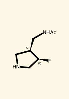 CC(=O)NC[C@@H]1CNC[C@@H]1F